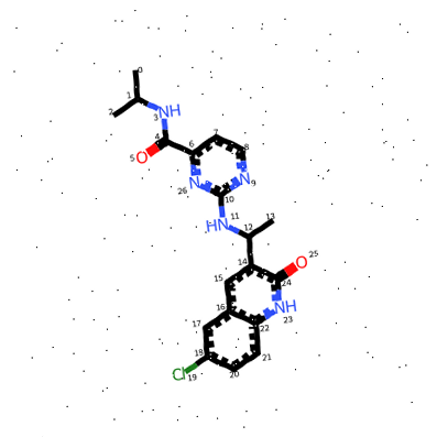 CC(C)NC(=O)c1ccnc(NC(C)c2cc3cc(Cl)ccc3[nH]c2=O)n1